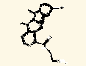 Cc1c2ccnc(C(=O)NCCN)c2cc2c3cc(F)ccc3n(C)c12